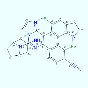 N#Cc1ccc(-c2nc(N3C4CCC3CC(N)C4)n3ccnc3c2-c2cc3c(cc2F)CCN3)cc1F